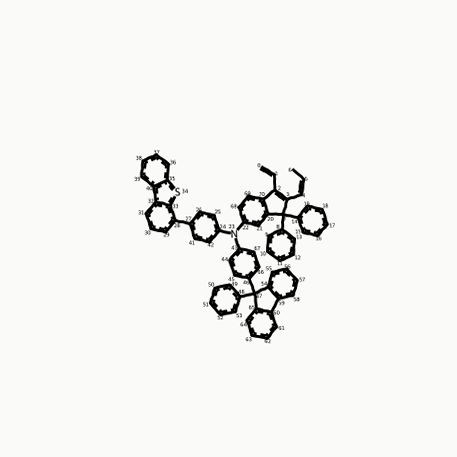 C=CC1=C(/C=C\C)C(c2ccccc2)(c2ccccc2)c2cc(N(c3ccc(-c4cccc5c4sc4ccccc45)cc3)c3ccc(C4(c5ccccc5)c5ccccc5-c5ccccc54)cc3)ccc21